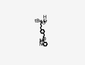 C[SiH](C)OC(CCCc1ccc(CCOc2ncnc3ccccc23)cc1)C(C)(C)C